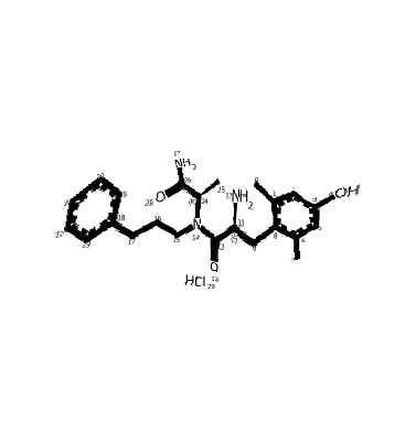 Cc1cc(O)cc(C)c1C[C@H](N)C(=O)N(CCCc1ccccc1)[C@H](C)C(N)=O.Cl